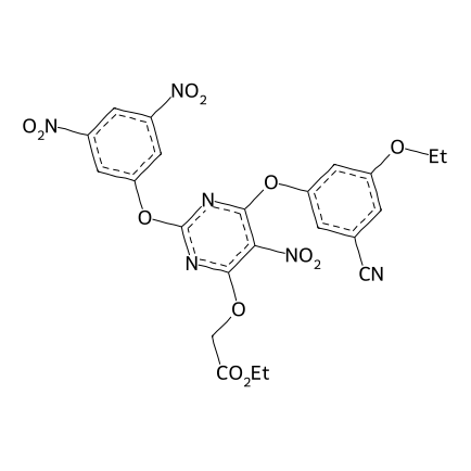 CCOC(=O)COc1nc(Oc2cc([N+](=O)[O-])cc([N+](=O)[O-])c2)nc(Oc2cc(C#N)cc(OCC)c2)c1[N+](=O)[O-]